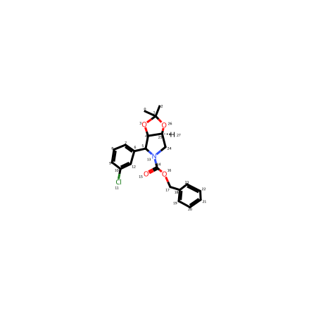 CC1(C)OC2C(c3cccc(Cl)c3)N(C(=O)OCc3ccccc3)C[C@@H]2O1